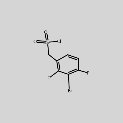 O=S(=O)(Cl)Cc1ccc(F)c(Br)c1F